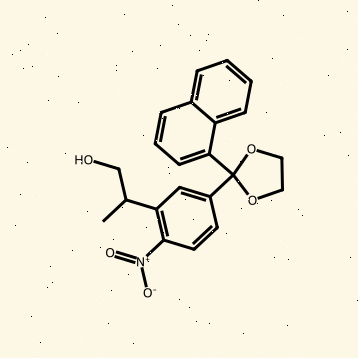 CC(CO)c1cc(C2(c3cccc4ccccc34)OCCO2)ccc1[N+](=O)[O-]